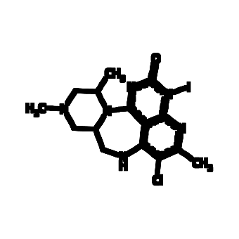 Cc1nc2c3c(nc(=O)n2I)N2C(C)CN(C)CC2CNc3c1Cl